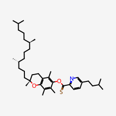 Cc1c(C)c2c(c(C)c1OC(=S)c1ccc(CCC(C)C)cn1)CC[C@@](C)(CCC[C@H](C)CCC[C@H](C)CCCC(C)C)O2